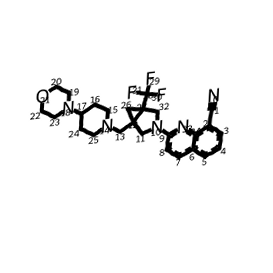 N#Cc1cccc2ccc(N3CC4(CN5CCC(N6CCOCC6)CC5)CC4(C(F)(F)F)C3)nc12